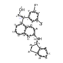 O/N=C(\c1cc(F)cc(F)c1)c1cccc2nc(N[C@@H]3CCc4ccccc43)ccc12